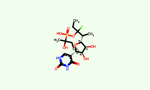 CCC(F)(OP(=O)(O)C(C)(O)CC)C(C)[C@H]1O[C@@H](c2c[nH]c(=O)[nH]c2=O)[C@H](O)[C@@H]1O